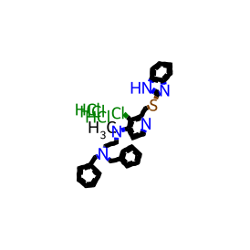 CN(CCN(Cc1ccccc1)Cc1ccccc1)c1ccnc(CSc2nc3ccccc3[nH]2)c1Cl.Cl.Cl.Cl